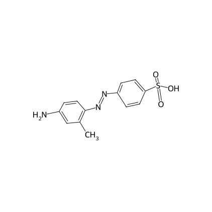 Cc1cc(N)ccc1N=Nc1ccc(S(=O)(=O)O)cc1